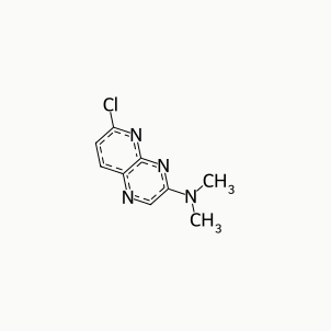 CN(C)c1cnc2ccc(Cl)nc2n1